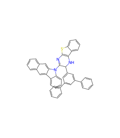 c1ccc(-c2cc(-c3ccccc3)cc(C3Nc4c(sc5ccccc45)N=C3n3c4ccccc4c4cc5ccccc5cc43)c2)cc1